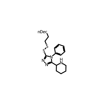 CCCCCCCCCCCCSSc1nnc(C2CCCCN2)n1-c1ccccc1